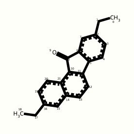 CCc1ccc2c(c1)C(=O)c1c-2ccc2cc(CC)ccc12